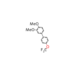 COc1ccc(-c2ccc(OC(F)(F)F)cc2)cc1OC